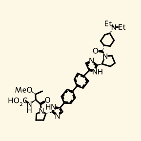 CCN(CC)[C@H]1CC[C@@H](C(=O)N2CCC[C@H]2c2ncc(-c3ccc(-c4ccc(-c5cnc([C@@H]6CCCN6C(=O)[C@@H](NC(=O)O)[C@@H](C)OC)[nH]5)cc4)cc3)[nH]2)CC1